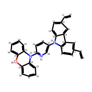 C=Cc1ccc2c(c1)c1cc(C=C)ccc1n2-c1ccc(N2c3ccccc3Oc3ccccc32)nc1